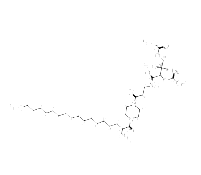 CCCCCCCCCCCCCCCCC(C)C(=O)N1CCN(C(=O)CCNC(=O)C(OC(C)=O)C(C)(C)COC(C)=O)CC1